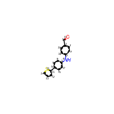 O=Cc1ccc(Nc2ccc(-c3cccs3)cc2)cc1